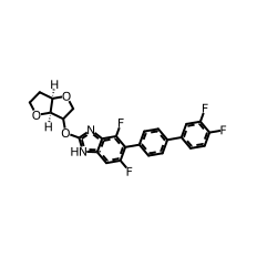 Fc1ccc(-c2ccc(-c3c(F)cc4[nH]c(OC5CO[C@@H]6CCO[C@H]56)nc4c3F)cc2)cc1F